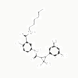 CCCCCCNC(=O)c1cc(NC(=O)C2C(c3cc(Cl)cc(Cl)c3)C2(Cl)Cl)ccc1Cl